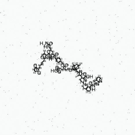 Cc1c(-c2ccc(N3CCc4cccc(C(=O)Nc5nc6ncccc6s5)c4C3)nc2C(=O)O)cnn1CC12CC3(C)CC(C)(C1)CC(OCCN(CCS(=O)(=O)O)C(=O)OCc1ccc(NC(=O)[C@H](CCCNC(N)=O)NC(=O)C(NC(=O)CCCCCN4C(=O)C=CC4=O)C(C)C)cc1)(C3)C2